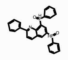 O=[PH](c1ccccc1)c1cc([PH](=O)c2ccccc2)c2nc(-c3ccccc3)ccc2c1